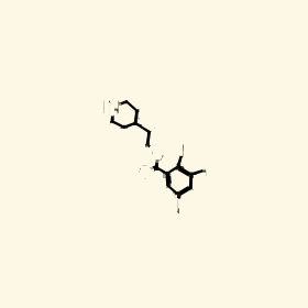 O=C(OCCC1CCNCC1)c1cc(I)cc(I)c1I